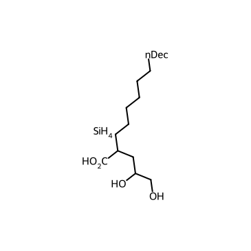 CCCCCCCCCCCCCCCCC(CC(O)CO)C(=O)O.[SiH4]